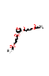 C=CC(=O)OCCCCC(=O)O[C@@H]1CCOC[C@H]1OC(=O)CCCCOC(=O)C=C